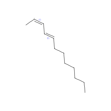 C/[C]=C\C=C\CCCCCCC